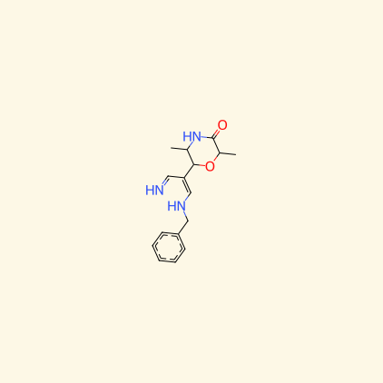 CC1OC(/C(C=N)=C/NCc2ccccc2)C(C)NC1=O